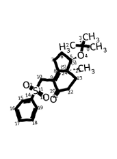 CC(C)(C)O[C@H]1CCC2=C(CS(=O)(=O)c3ccccc3)C(=O)CC[C@@]21C